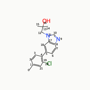 Cc1ccc(-c2ccc3ncn(CC(C)(C)O)c3c2)c(Cl)c1